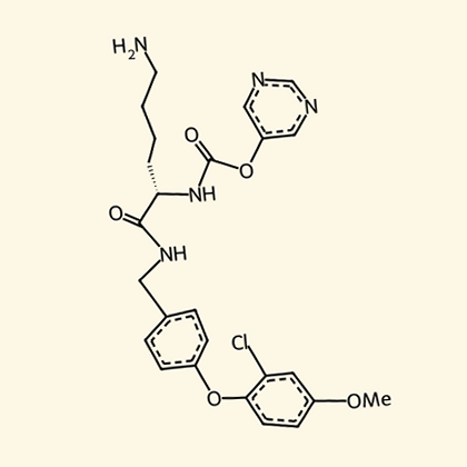 COc1ccc(Oc2ccc(CNC(=O)[C@H](CCCCN)NC(=O)Oc3cncnc3)cc2)c(Cl)c1